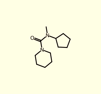 CN(C(=O)N1CCCCC1)C1CCCC1